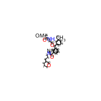 CNN(CCCC1CCCOC1)C(=O)c1cccc(C(OCCNC(=O)OC)c2cccc(C)c2)c1